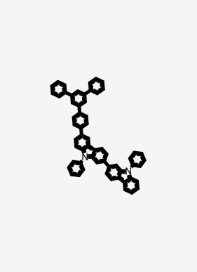 c1ccc(-c2cc(-c3ccccc3)cc(-c3ccc(-c4ccc5c(c4)c4ccc(-c6ccc7c8ccccc8n(-c8ccccc8)c7c6)cc4n5-c4ccccc4)cc3)c2)cc1